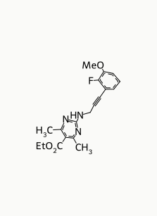 CCOC(=O)c1c(C)nc(NCC#Cc2cccc(OC)c2F)nc1C